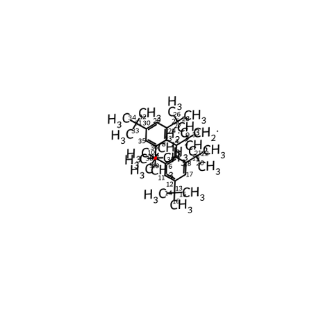 [CH2]C([CH2])([CH2])[C](c1c(C(C)(C)C)cc(C(C)(C)C)cc1C(C)(C)C)c1c(C(C)(C)C)cc(C(C)(C)C)cc1C(C)(C)C